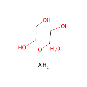 O.OCCO.OCC[O][AlH2]